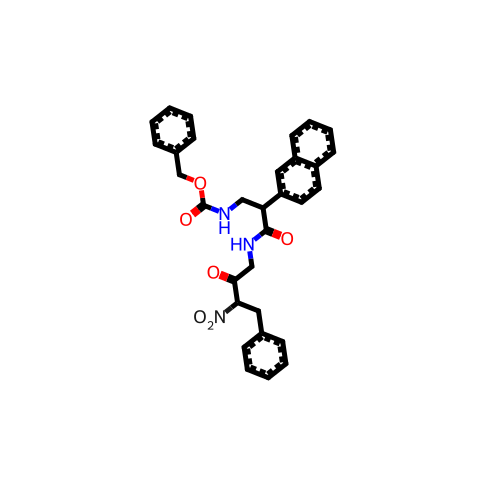 O=C(NCC(C(=O)NCC(=O)C(Cc1ccccc1)[N+](=O)[O-])c1ccc2ccccc2c1)OCc1ccccc1